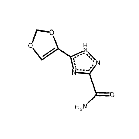 NC(=O)c1n[nH]c(C2=COCO2)n1